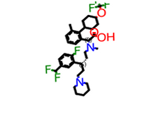 Cc1cccc([C@H](C(=O)O)N(C)CC[C@H](CCN2CCCCC2)c2cc(C(F)F)ccc2F)c1C1CCC(OC(F)(F)F)CC1